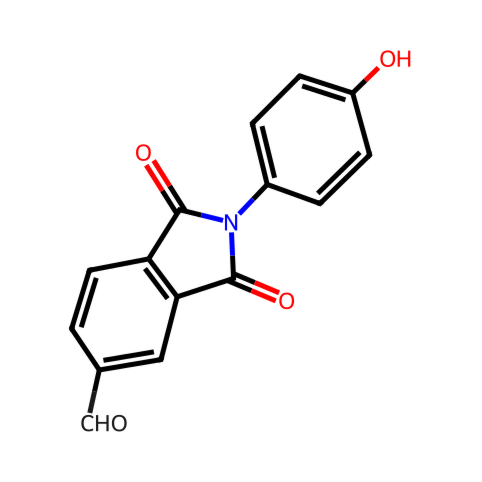 O=Cc1ccc2c(c1)C(=O)N(c1ccc(O)cc1)C2=O